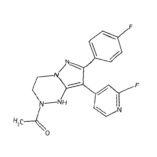 CC(=O)N1CCn2nc(-c3ccc(F)cc3)c(-c3ccnc(F)c3)c2N1